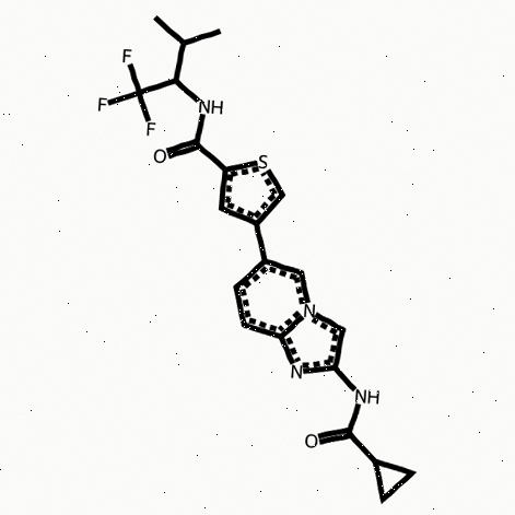 CC(C)C(NC(=O)c1cc(-c2ccc3nc(NC(=O)C4CC4)cn3c2)cs1)C(F)(F)F